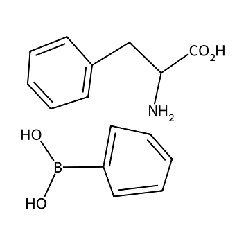 NC(Cc1ccccc1)C(=O)O.OB(O)c1ccccc1